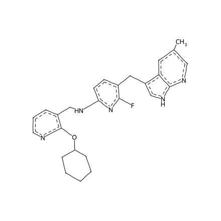 Cc1cnc2[nH]cc(Cc3ccc(NCc4cccnc4OC4CCCCC4)nc3F)c2c1